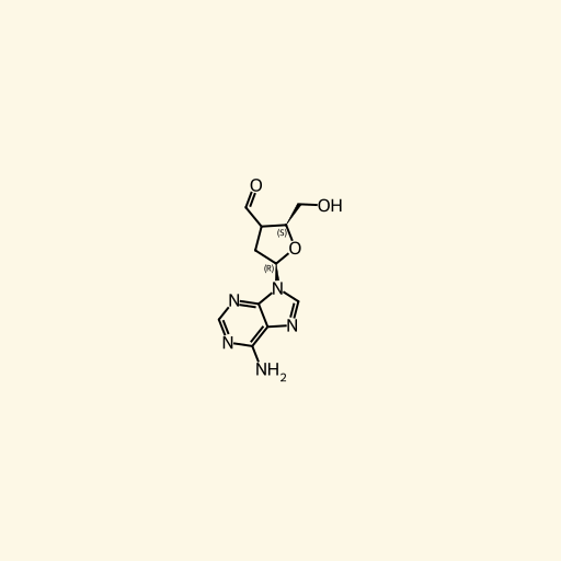 Nc1ncnc2c1ncn2[C@H]1CC(C=O)[C@@H](CO)O1